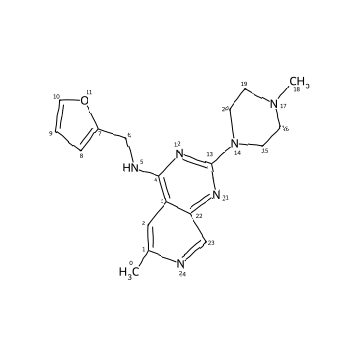 Cc1cc2c(NCc3ccco3)nc(N3CCN(C)CC3)nc2cn1